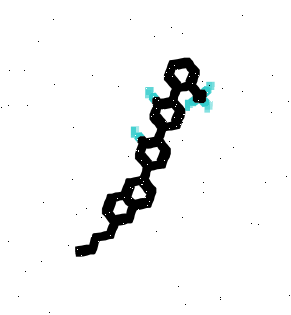 C=CCCc1ccc2cc(-c3ccc(-c4ccc(-c5ccccc5C(F)(F)F)c(F)c4)c(F)c3)ccc2c1